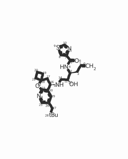 C=CC[C@H](NC(=O)c1cscn1)[C@H](O)CN[C@H]1CC2(CCC2)Oc2ncc(CC(C)(C)C)cc21